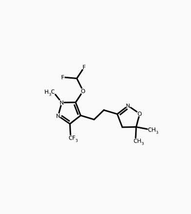 Cn1nc(C(F)(F)F)c(CCC2=NOC(C)(C)C2)c1OC(F)F